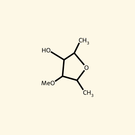 COC1C(C)OC(C)C1O